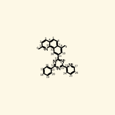 Cc1ccc2ccc3c(C)cc(-c4nc(-c5ccccc5)nc(-c5ccccn5)n4)cc3c2n1